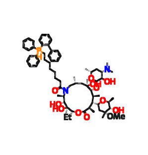 CC[C@H]1OC(=O)[C@H](C)[C@@H](C2C[C@@](C)(OC)[C@@H](O)[C@H](C)O2)[C@H](C)[C@@H](O[C@@H]2O[C@H](C)C[C@H](N(C)C)[C@H]2O)[C@](C)(O)C[C@@H](C)CN(C(=O)CCCCCCC[PH](c2ccccc2)(c2ccccc2)c2ccccc2-c2ccccc2)[C@H](C)[C@@H](O)[C@]1(C)O